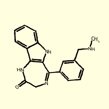 CNCc1cccc(C2=NCC(=O)Nc3c2[nH]c2ccccc32)c1